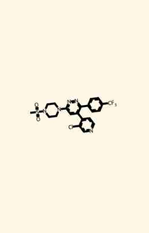 CS(=O)(=O)N1CCN(c2cc(-c3ccncc3Cl)c(-c3ccc(C(F)(F)F)cc3)nn2)CC1